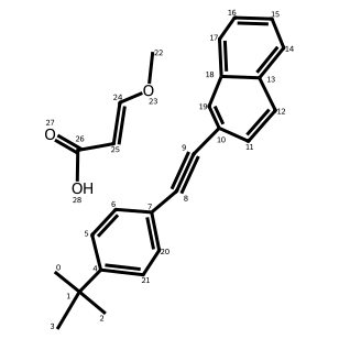 CC(C)(C)c1ccc(C#Cc2ccc3ccccc3c2)cc1.COC=CC(=O)O